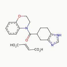 O=C(C1CCc2[nH]cnc2C1)N1CCOc2ccccc21.O=C(O)/C=C/C(=O)O